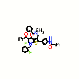 CC(C)C(=O)Nc1ccc(-c2sc3c(c2CN(C)Cc2ccccc2)c(=O)c(C(=O)C(C)C)cn3Cc2c(F)cccc2F)cc1